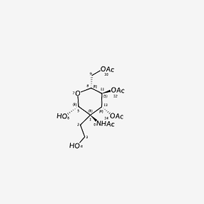 CC(=O)N[C@@]1(CCO)[C@H](O)O[C@H](COC(C)=O)[C@@H](OC(C)=O)[C@@H]1OC(C)=O